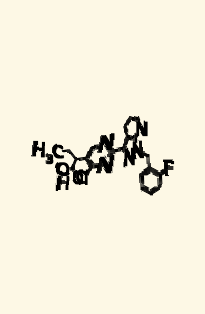 CCC(C(=O)O)c1cnc(-c2nn(Cc3ccccc3F)c3ncccc23)nc1Cl